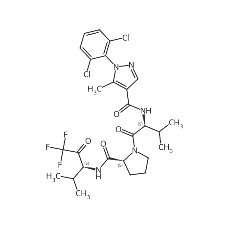 Cc1c(C(=O)N[C@H](C(=O)N2CCC[C@H]2C(=O)N[C@H](C(=O)C(F)(F)F)C(C)C)C(C)C)cnn1-c1c(Cl)cccc1Cl